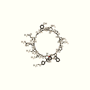 CCCC[C@H]1C(=O)N(C)[C@@H](CCCC)C(=O)NC(CCCNC(=N)N)C(=O)N[C@H](C(=O)NCC(N)=O)CSCC(=O)N[C@@H](Cc2ccc(O)cc2)C(=O)N(C)[C@@H](C)C(=O)N[C@@H](CC(N)=O)C(=O)N2CCCC2C(=O)N[C@@H](CN)C(=O)N[C@@H](CC(C)C)C(=O)N2CCCC2C(=O)N[C@@H](Cc2c[nH]c3ccccc23)C(=O)N[C@@H](CO)C(=O)N[C@@H](Cc2c(-c3ccc(OCC)cc3)[nH]c3ccccc23)C(=O)N1C